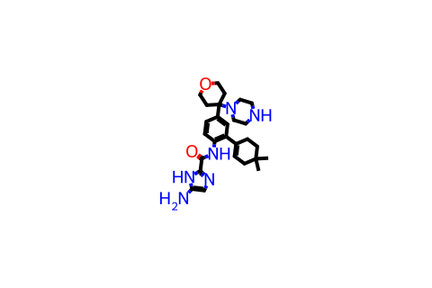 CC1(C)CC=C(c2cc(C3(N4CCNCC4)CCOCC3)ccc2NC(=O)c2ncc(N)[nH]2)CC1